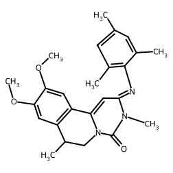 COc1cc2c(cc1OC)C(C)Cn1c-2cc(=Nc2c(C)cc(C)cc2C)n(C)c1=O